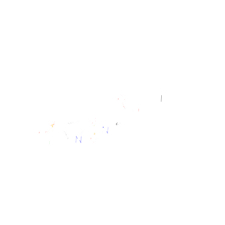 CCOC(=O)[C@@H]1CCCN(S(=O)(=O)c2ccc(S(=O)(=O)Cl)cn2)C1